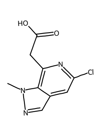 Cn1ncc2cc(Cl)nc(CC(=O)O)c21